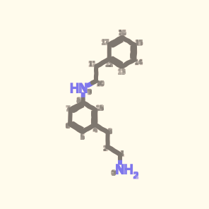 NCCCc1cccc(NCCc2ccccc2)c1